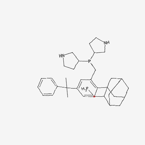 CC(C)(c1ccccc1)c1ccc(C23CC4CC(CC(C4)C2CP)C3)c(CP(C2CCNC2)C2CCNC2)c1